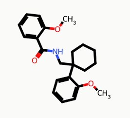 COc1ccccc1C(=O)NCC1(c2ccccc2OC)CCCCC1